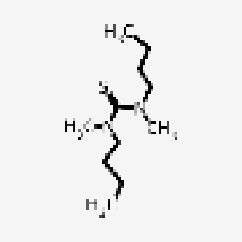 CCCCN(C)C(=S)N(C)CCCC